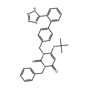 CC(C)(C)Sc1cc(=O)n(Cc2ccccc2)c(=O)n1Cc1ccc(-c2ccccc2-c2nnn[nH]2)cc1